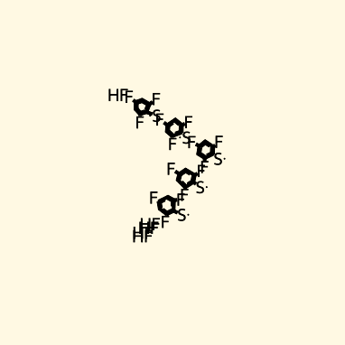 F.F.F.F.F.Fc1cc(F)c([S])c(F)c1.Fc1cc(F)c([S])c(F)c1.Fc1cc(F)c([S])c(F)c1.Fc1cc(F)c([S])c(F)c1.Fc1cc(F)c([S])c(F)c1